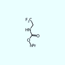 CCCOC(=O)NCC(F)(F)F